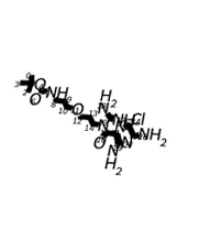 CC(C)(C)OC(=O)NCCCOCCCN(C(=N)N)C(=O)c1nc(Cl)c(N)nc1N